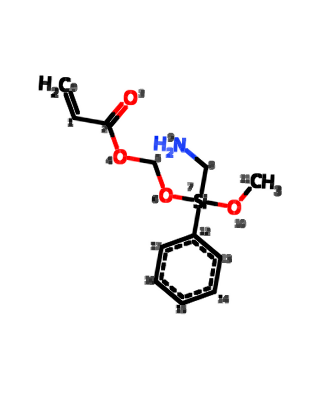 C=CC(=O)OCO[Si](CN)(OC)c1ccccc1